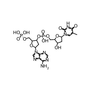 Cc1cn(C2CC(O)C(COP(=O)(O)OC3CC(n4cnc5c(N)ncnc54)OC3COP(=O)(O)O)O2)c(=O)[nH]c1=O